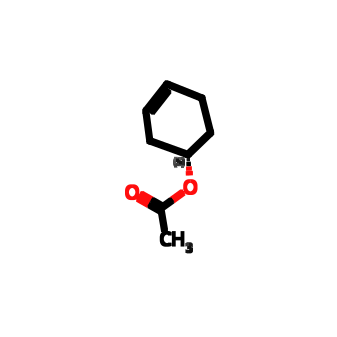 CC(=O)O[C@@H]1CC=CCC1